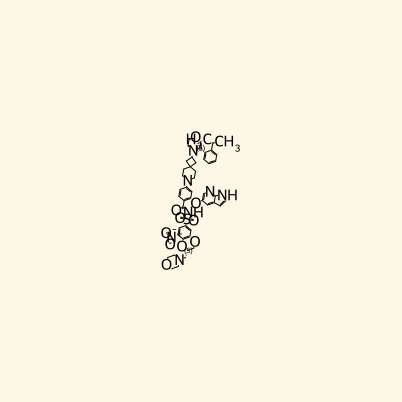 CC(C)c1ccccc1[C@H]1COCCN1C1CC2(CCN(c3ccc(C(=O)NS(=O)(=O)c4cc5c(c([N+](=O)[O-])c4)O[C@@H](CN4CCOCC4)CO5)c(Oc4cnc5[nH]ccc5c4)c3)CC2)C1